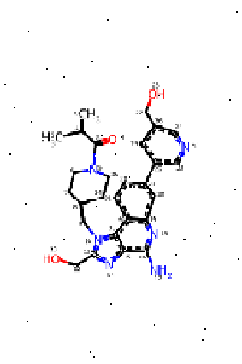 CC(C)C(=O)N1CCC(Cn2c(CO)nc3c(N)nc4cc(-c5cncc(CO)c5)ccc4c32)CC1